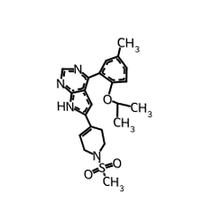 Cc1ccc(OC(C)C)c(-c2ncnc3[nH]c(C4=CCN(S(C)(=O)=O)CC4)cc23)c1